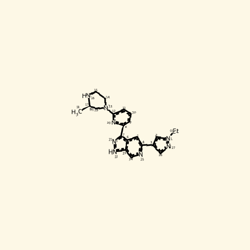 CCn1cc(-c2cc3c(-c4cccc(N5CCN[C@H](C)C5)n4)n[nH]c3cn2)cn1